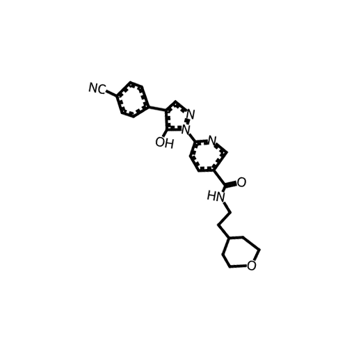 N#Cc1ccc(-c2cnn(-c3ccc(C(=O)NCCC4CCOCC4)cn3)c2O)cc1